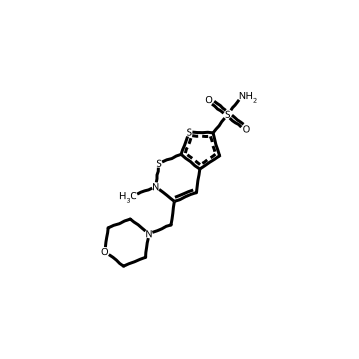 CN1Sc2sc(S(N)(=O)=O)cc2C=C1CN1CCOCC1